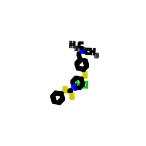 CN(C)Cc1ccc(SC2CCN(C(=S)Sc3ccccc3)CC2)cc1.Cl